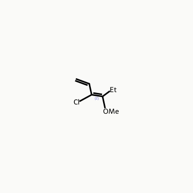 C=C/C(Cl)=C(\CC)OC